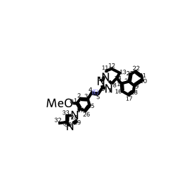 COc1cc(/C=C/c2nc3n(n2)CCCC3c2cccc3ccccc23)ccc1-n1cnc(C)c1